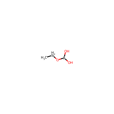 C[SiH2]OB(O)O